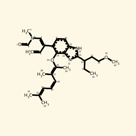 C=C/C(=C\N(C)C=O)c1ccc2[nH]c(C(CC)CCOC)nc2c1O/C(C)=C(C)/C=C\C=C(C)C